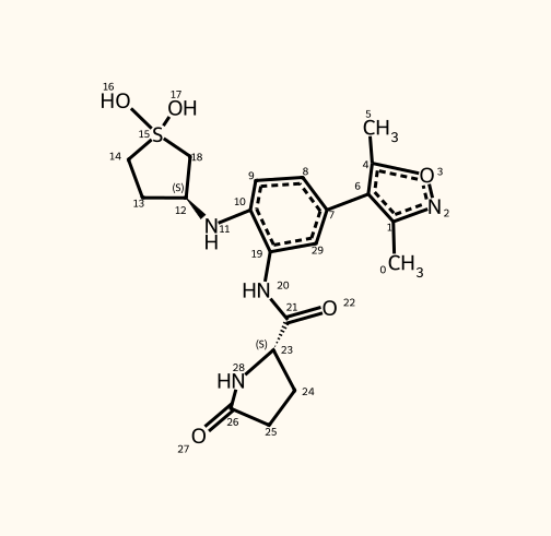 Cc1noc(C)c1-c1ccc(N[C@H]2CCS(O)(O)C2)c(NC(=O)[C@@H]2CCC(=O)N2)c1